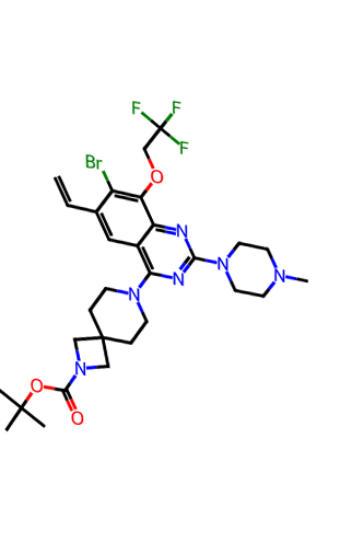 C=Cc1cc2c(N3CCC4(CC3)CN(C(=O)OC(C)(C)C)C4)nc(N3CCN(C)CC3)nc2c(OCC(F)(F)F)c1Br